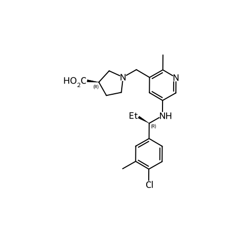 CC[C@@H](Nc1cnc(C)c(CN2CC[C@@H](C(=O)O)C2)c1)c1ccc(Cl)c(C)c1